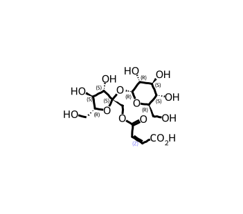 O=C(O)/C=C\C(=O)OC[C@@]1(O[C@H]2O[C@H](CO)[C@@H](O)[C@H](O)[C@H]2O)O[C@H](CO)[C@@H](O)[C@@H]1O